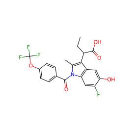 CCC(C(=O)O)c1c(C)n(C(=O)c2ccc(OC(F)(F)F)cc2)c2cc(F)c(O)cc12